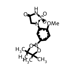 COc1ccc(B2OC(C)(C)C(C)(C)O2)cc1N1CC(=O)NS1(=O)=O